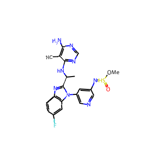 CO[SH](=O)=Nc1cncc(-n2c(C(C)Nc3ncnc(N)c3C#N)nc3ccc(F)cc32)c1